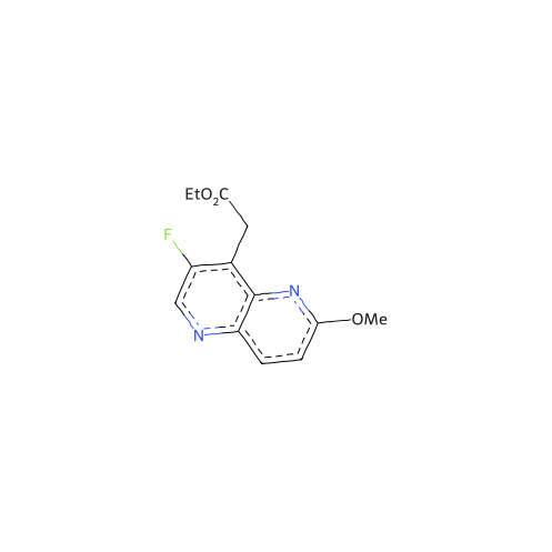 CCOC(=O)Cc1c(F)cnc2ccc(OC)nc12